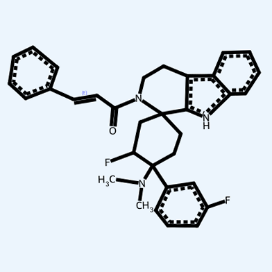 CN(C)C1(c2cccc(F)c2)CCC2(CC1F)c1[nH]c3ccccc3c1CCN2C(=O)/C=C/c1ccccc1